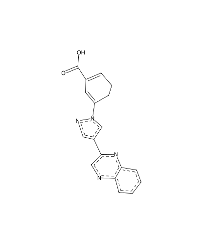 O=C(O)C1=CCCC(n2cc(-c3cnc4ccccc4n3)cn2)=C1